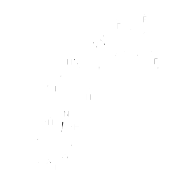 [2H]C([2H])([C@H]1CO[C@@H]2CCCC21)N1C[C@H]2CC(Nc3ccc(-c4cc(F)cc(F)c4F)nn3)C[C@H]2C1